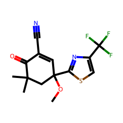 COC1(c2nc(C(F)(F)F)cs2)C=C(C#N)C(=O)C(C)(C)C1